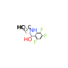 C#CC[C@H](NC(=O)O)[C@H](O)c1cc(F)c(F)cc1F